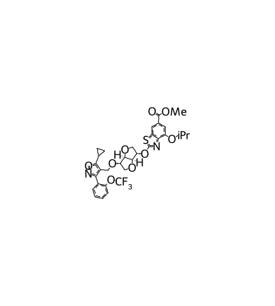 COC(=O)c1cc(OC(C)C)c2nc(O[C@@H]3CO[C@H]4[C@@H]3OC[C@H]4OCc3c(-c4ccccc4OC(F)(F)F)noc3C3CC3)sc2c1